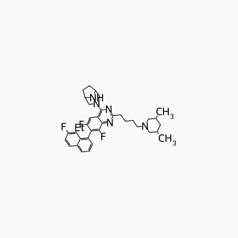 CCc1c(F)ccc2cccc(-c3c(F)cc4c(N5CC6CCC(C5)N6)nc(CCCCN5CC(C)CC(C)C5)nc4c3F)c12